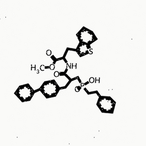 COC(=O)C(Cc1csc2ccccc12)NC(=O)C(Cc1ccc(-c2ccccc2)cc1)CP(=O)(O)CCc1ccccc1